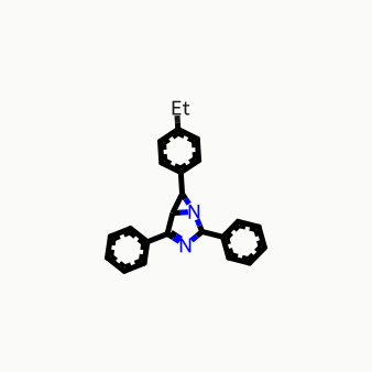 CCc1ccc(C2C3C(c4ccccc4)=NC(c4ccccc4)N32)cc1